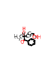 CC(C)(O)C(=O)c1ccccc1.CCO